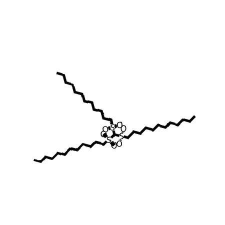 CCCCCCCCCCCCS(=O)(=O)[C](S(=O)(=O)CCCCCCCCCCCC)S(=O)(=O)CCCCCCCCCCCC